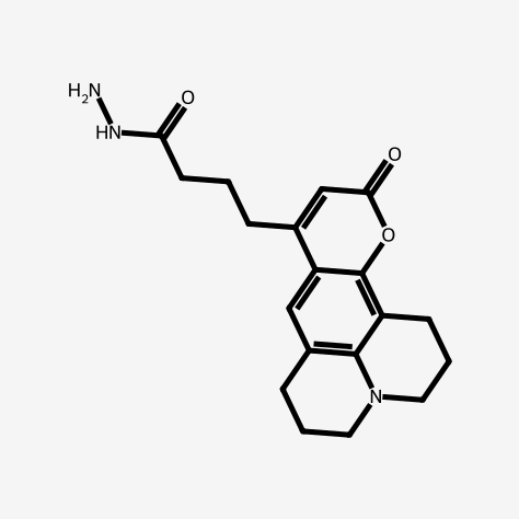 NNC(=O)CCCc1cc(=O)oc2c3c4c(cc12)CCCN4CCC3